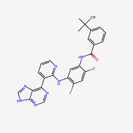 CC(C)(C#N)c1cccc(C(=O)Nc2cc(Nc3ncccc3-c3ncnc4[nH]cnc34)c(F)cc2F)c1